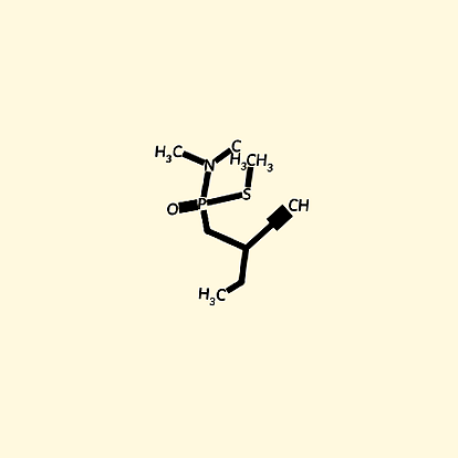 C#CC(CC)CP(=O)(SC)N(C)C